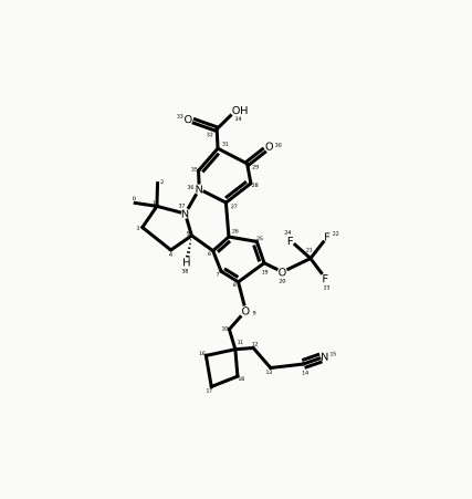 CC1(C)CC[C@@H]2c3cc(OCC4(CCC#N)CCC4)c(OC(F)(F)F)cc3-c3cc(=O)c(C(=O)O)cn3N21